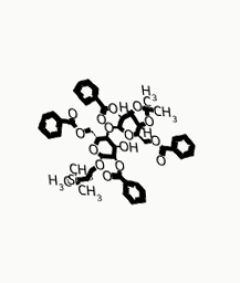 CC1(C)O[C@H]2[C@@H](O1)[C@@H](COC(=O)c1ccccc1)O[C@@H](O[C@H]1[C@H](O)[C@@H](OC(=O)c3ccccc3)[C@H](OCC[Si](C)(C)C)O[C@@H]1COC(=O)c1ccccc1)[C@@H]2OC(=O)c1ccccc1